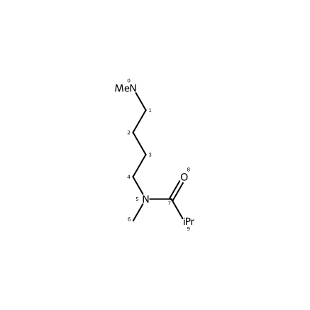 CNCCCCN(C)C(=O)C(C)C